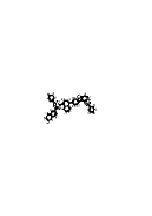 c1ccc(-c2nc(-c3ccc4ccccc4c3)nc(-c3ccc(-c4ccc5c(c4)oc4ccc6sc(-c7ccccc7)nc6c45)c4ccccc34)n2)cc1